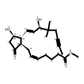 CC#CCC(C)(C)[C@H](O)/C=C/[C@H]1[C@H](O)CC(=O)[C@@H]1C/C=C\CCCC(=O)OC